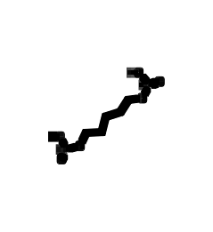 O=[PH](O)OCCCCCO[PH](=O)O